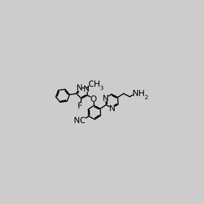 Cn1nc(-c2ccccc2)c(F)c1Oc1cc(C#N)ccc1-c1ncc(CCN)cn1